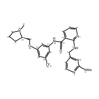 CNc1nccc(CNc2ncccc2C(=O)Nc2cc(OC[C@H]3CCCN3C)cc(C(F)(F)F)c2)n1